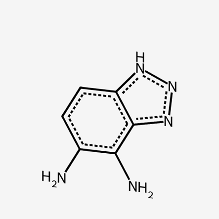 Nc1ccc2[nH]nnc2c1N